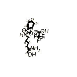 N[C@H](CO)CCCCNS(=O)(=O)c1ccccc1.O=C(O)C(F)(F)F